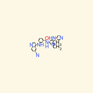 C=N/C=C(\C=C(/C)Nc1ccncc1)NC(=O)c1cccc(Nc2ccnc3ccc(C#N)cc23)c1